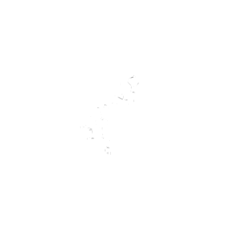 CC[C@@H]1C2C[C@H](O)CC[C@]2(C)C2CC[C@@]3(C)C(CC[C@@H]3[C@H](C)CCO[P@]3(=O)OCC[C@H](c4ccncc4F)O3)C2[C@@H]1O